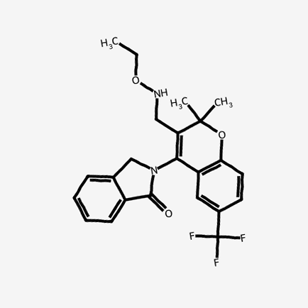 CCONCC1=C(N2Cc3ccccc3C2=O)c2cc(C(F)(F)F)ccc2OC1(C)C